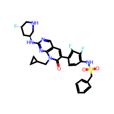 O=c1c(-c2ccc(NS(=O)(=O)Cc3ccccc3)c(F)c2F)cc2cnc(N[C@@H]3CNC[C@@H](F)C3)nc2n1CC1CC1